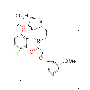 COc1cncc(OCC(=O)N2CCc3ccccc3C2c2cc(Cl)ccc2OCC(=O)O)c1